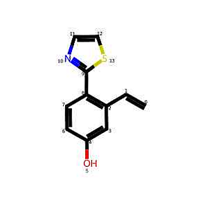 C=Cc1cc(O)ccc1-c1nccs1